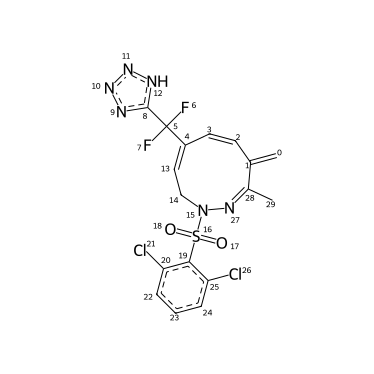 C=C1/C=C\C(C(F)(F)c2nnn[nH]2)=C/CN(S(=O)(=O)c2c(Cl)cccc2Cl)/N=C\1C